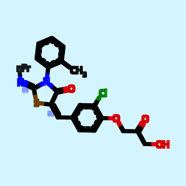 CCC/N=C1/S/C(=C/c2ccc(OCC(=O)CO)c(Cl)c2)C(=O)N1c1ccccc1C